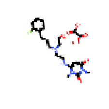 Cn1c(NCCN(CCO)CCCc2ccccc2F)cc(=O)n(C)c1=O.O=C(O)C(=O)O